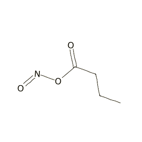 CCCC(=O)ON=O